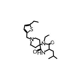 CCc1ccc(CN2CCC3(CC2)C(=O)NC(CC(C)C)C(=O)N3CC)s1